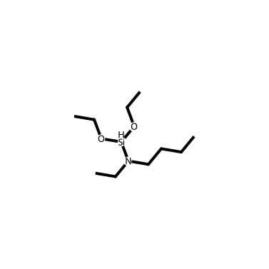 CCCCN(CC)[SiH](OCC)OCC